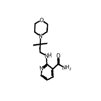 CC(C)(CNc1ncccc1C(N)=O)N1CCOCC1